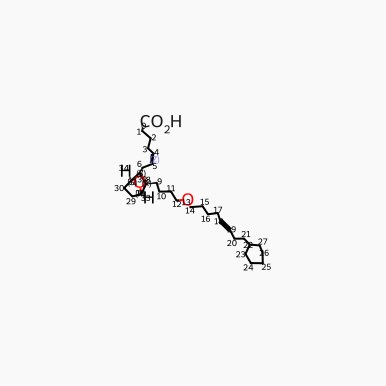 O=C(O)CCC/C=C\C[C@H]1[C@@H](CCCCOCCCCC#CCCC2CCCCC2)[C@H]2CC[C@@H]1O2